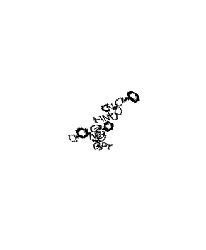 CC(C)OC(=O)CN(c1cccc(Cl)c1)S(=O)(=O)c1cccc(NC(=O)[C@H]2CCCN2C(=O)OCc2ccccc2)c1